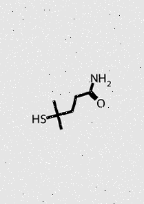 CC(C)(S)CCC(N)=O